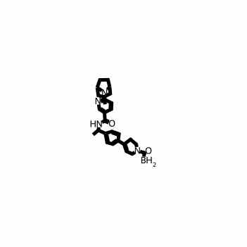 BC(=O)N1CC=C(c2ccc(C(C)NC(=O)c3ccc(N4C5CCC4CC(C)C5)nc3)cc2)CC1